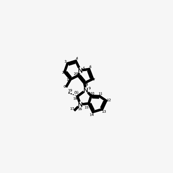 Cc1cccn2ccc(N3c4ccccc4N(C)[C@@H]3C)c12